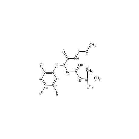 COCNC(=O)[C@@H](Cc1cc(F)c(F)cc1F)NC(=O)OC(C)(C)C